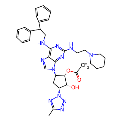 Cc1nnn([C@H]2C[C@@H](n3cnc4c(NCC(c5ccccc5)c5ccccc5)nc(NCCN5CCCCC5)nc43)[C@H](OC(=O)C(F)(F)F)[C@@H]2O)n1